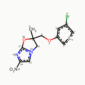 CC1(COc2cccc(Br)c2)Cn2cc([N+](=O)[O-])nc2O1